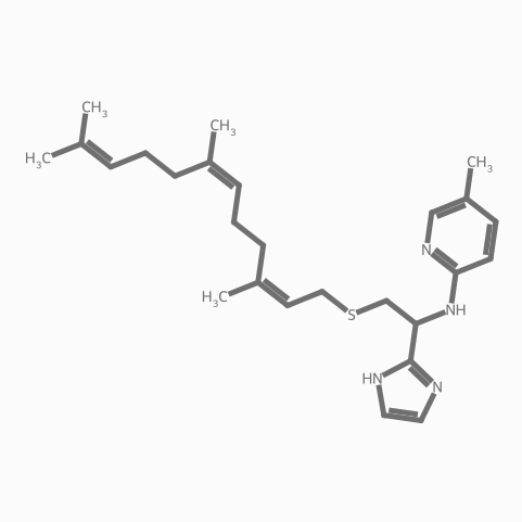 CC(C)=CCCC(C)=CCCC(C)=CCSCC(Nc1ccc(C)cn1)c1ncc[nH]1